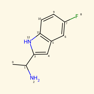 CC(N)c1cc2cc(F)ccc2[nH]1